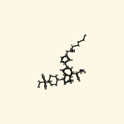 CCCCCNCc1ccc(-c2cc(C(N)=O)c3[nH]cc(C4CCN(S(=O)(=O)CC)CC4)c3c2)s1